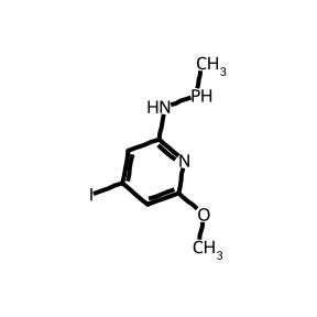 COc1cc(I)cc(NPC)n1